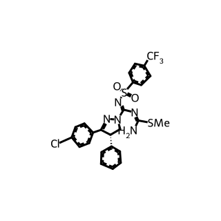 CS/C(N)=N/C(=N\S(=O)(=O)c1ccc(C(F)(F)F)cc1)N1C[C@H](c2ccccc2)C(c2ccc(Cl)cc2)=N1